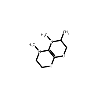 CC1COC2=C(N(C)CCO2)N1C